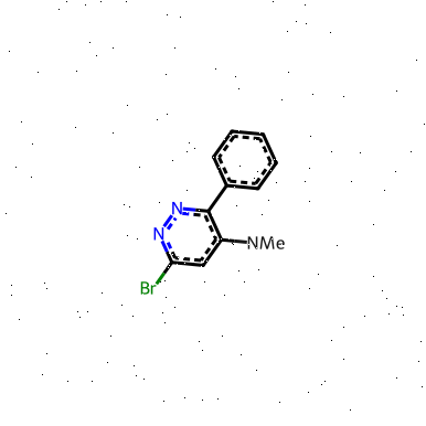 CNc1cc(Br)nnc1-c1ccccc1